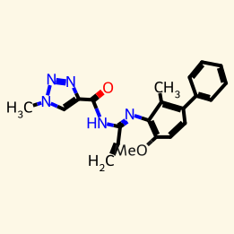 C=C/C(=N\c1c(OC)ccc(-c2ccccc2)c1C)NC(=O)c1cn(C)nn1